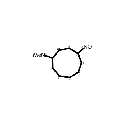 CNC1CCCCCC(N=O)CC1